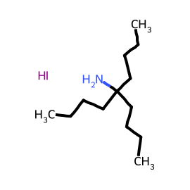 CCCCC(N)(CCCC)CCCC.I